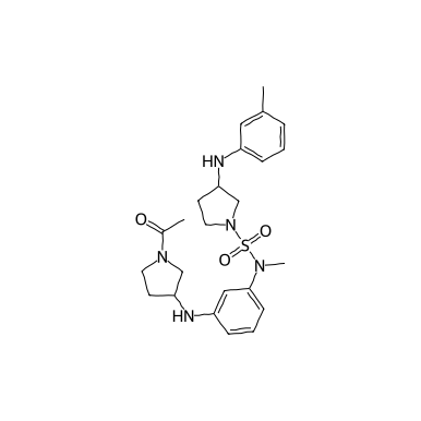 CC(=O)N1CCC(Nc2cccc(N(C)S(=O)(=O)N3CCC(Nc4cccc(C)c4)C3)c2)C1